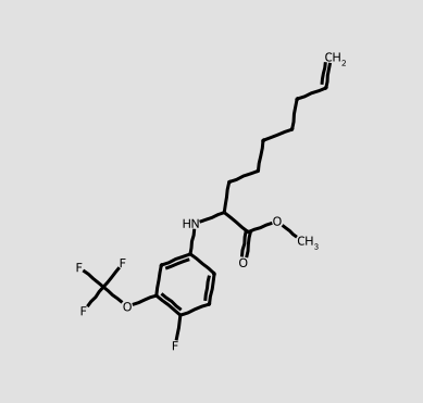 C=CCCCCCC(Nc1ccc(F)c(OC(F)(F)F)c1)C(=O)OC